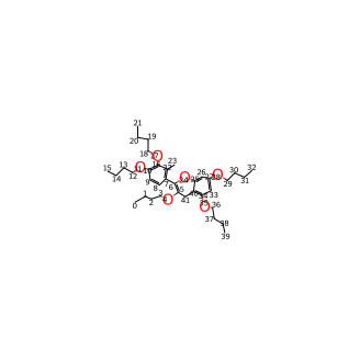 CCCCOC1=C(c2ccc(OCCCC)c(OCCCC)c2C)Oc2cc(OCCCC)cc(OCCCC)c2C1